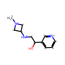 CN1CC(NCC(O)c2cccnc2)C1